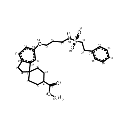 COC(=O)C1CCC2(CCc3ccc(OCCCNS(=O)(=O)CCc4ccccc4)cc32)CC1